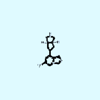 FC(F)(F)c1cc(C2C[C@H]3CNC[C@H]3C2)c2cncn2c1